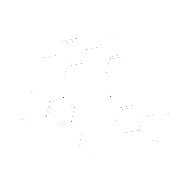 COc1ccc(CCN)cc1OC.COc1ccc(CCNC(=O)C(OC)c2ccc(Cl)c(Cl)c2)cc1OC